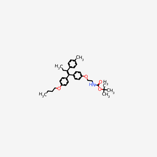 CCCCOc1ccc(/C(=C(\CC)c2ccc(C)cc2)c2ccc(OCCNC(=O)OC(C)(C)C)cc2)cc1